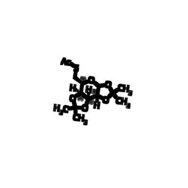 CC(=O)SC[C@H]1OC2OC(C)(C)O[C@@H]2[C@H]2OC(C)(C)O[C@H]21